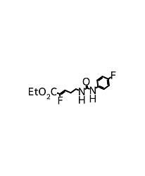 CCOC(=O)/C(F)=C/CCNC(=O)Nc1ccc(F)cc1